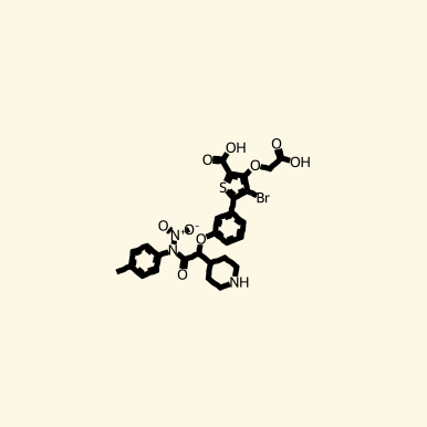 Cc1ccc(N(C(=O)C(Oc2cccc(-c3sc(C(=O)O)c(OCC(=O)O)c3Br)c2)C2CCNCC2)[N+](=O)[O-])cc1